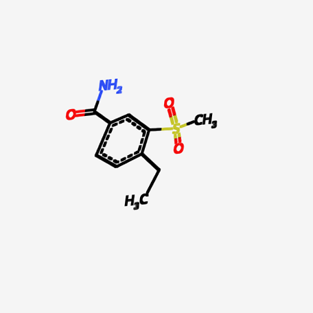 CCc1ccc(C(N)=O)cc1S(C)(=O)=O